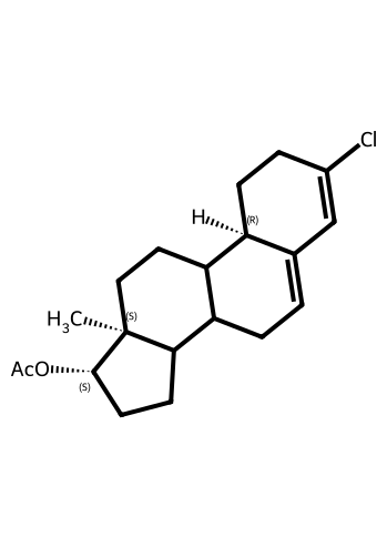 CC(=O)O[C@H]1CCC2C3CC=C4C=C(Cl)CC[C@@H]4C3CC[C@@]21C